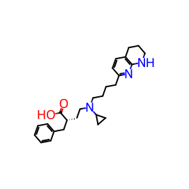 O=C(O)[C@H](CCN(CCCCc1ccc2c(n1)NCCC2)C1CC1)Cc1ccccc1